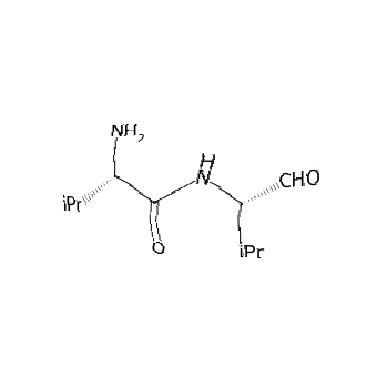 CC(C)[C@H](N)C(=O)N[C@H](C=O)C(C)C